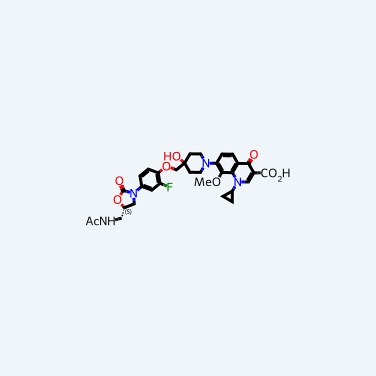 COc1c(N2CCC(O)(COc3ccc(N4C[C@H](CNC(C)=O)OC4=O)cc3F)CC2)ccc2c(=O)c(C(=O)O)cn(C3CC3)c12